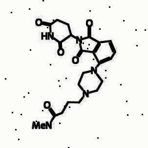 CNC(=O)CCCN1CCN(c2cccc3c2C(=O)N(C2CCC(=O)NC2=O)C3=O)CC1